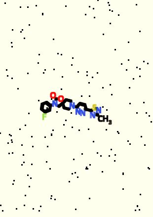 Cc1nsc(-c2ccc(N3CCC4(CC3)CN(c3cccc(F)c3)C(=O)O4)nn2)n1